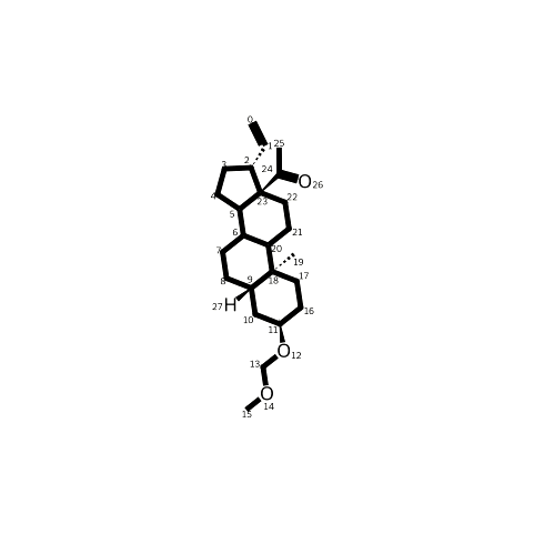 C=C[C@H]1CCC2C3CC[C@H]4C[C@H](OCOC)CC[C@]4(C)C3CC[C@]21C(C)=O